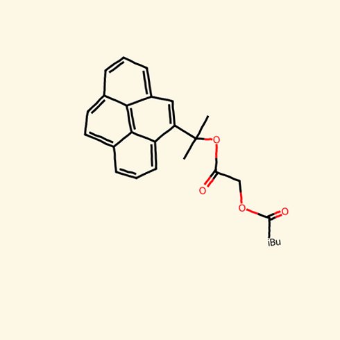 CCC(C)C(=O)OCC(=O)OC(C)(C)c1cc2cccc3ccc4cccc1c4c32